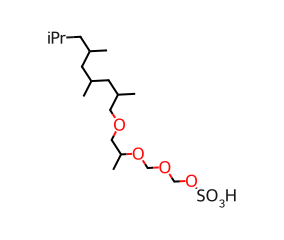 CC(C)CC(C)CC(C)CC(C)COCC(C)OCOCOS(=O)(=O)O